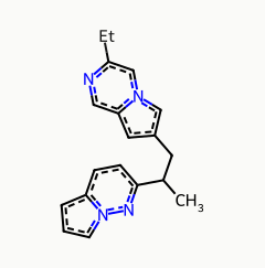 CCc1cn2cc(CC(C)c3ccc4cccn4n3)cc2cn1